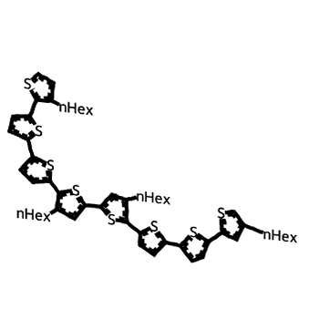 CCCCCCc1csc(-c2ccc(-c3ccc(-c4sc(-c5cc(CCCCCC)c(-c6ccc(-c7ccc(-c8sccc8CCCCCC)s7)s6)s5)cc4CCCCCC)s3)s2)c1